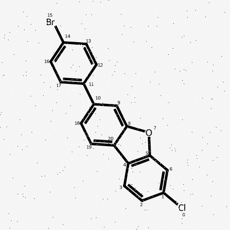 Clc1ccc2c(c1)oc1cc(-c3ccc(Br)cc3)ccc12